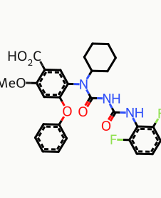 COc1cc(Oc2ccccc2)c(N(C(=O)NC(=O)Nc2c(F)cccc2F)C2CCCCC2)cc1C(=O)O